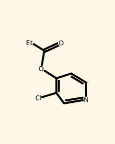 CCC(=O)Oc1c[c]ncc1Cl